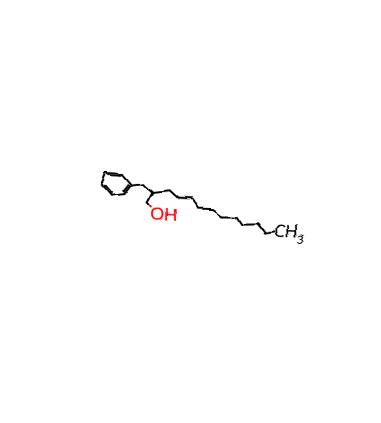 CCCCCCCCCCCC(CO)Cc1ccccc1